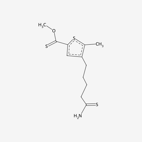 COC(=S)c1cc(CCCCC(N)=S)c(C)s1